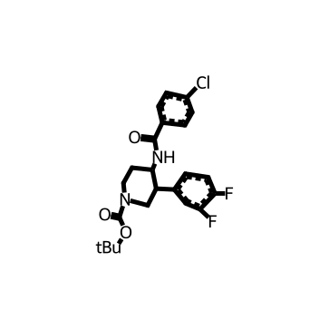 CC(C)(C)OC(=O)N1CCC(NC(=O)c2ccc(Cl)cc2)C(c2ccc(F)c(F)c2)C1